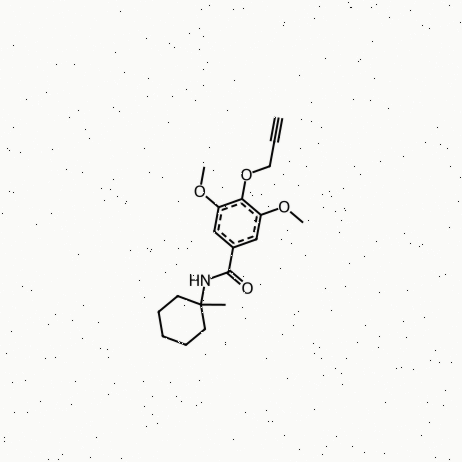 C#CCOc1c(OC)cc(C(=O)NC2(C)CCCCC2)cc1OC